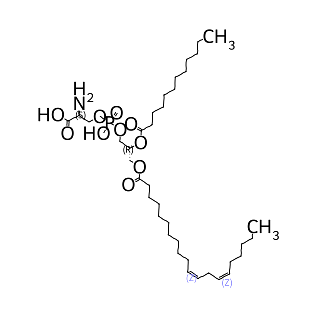 CCCCC/C=C\C/C=C\CCCCCCCCCC(=O)OC[C@H](COP(=O)(O)OC[C@H](N)C(=O)O)OC(=O)CCCCCCCCCCC